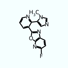 Cn1cncc1-c1ncccc1-c1nc2ccc(F)nc2o1